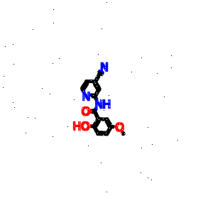 COc1ccc(O)c(C(=O)Nc2cc(C#N)ccn2)c1